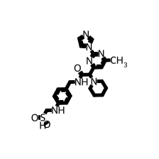 Cc1cc(C(C(=O)NCc2ccc(NC[SH](=O)=O)cc2)N2CCCCC2)nc(-n2ccnc2)n1